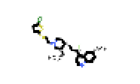 COc1ccc2nccc([C@@H](F)CC[C@@H]3CCN(CCSc4ccc(Cl)s4)C[C@@H]3CC(=O)O)c2c1